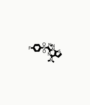 CN(C)c1nc2c(S(=O)(=O)c3ccc(F)cc3)nnn2c2sccc12